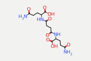 NC(=O)CCC(NC(=O)CCC(=O)NC(CCC(N)=O)C(=O)O)C(=O)O